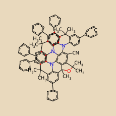 CC1(C)OC2(C)c3cc(-c4ccccc4)cc4c3N(c3ccc(-c5ccccc5)cc3C4(C)C)c3c(N4c5ccc(-c6ccccc6)cc5C(C)(C)c5cc(-c6ccccc6)ccc54)c(N4c5ccc(-c6ccccc6)cc5C(C)(C)c5cc(-c6ccccc6)ccc54)c(C#N)c1c32